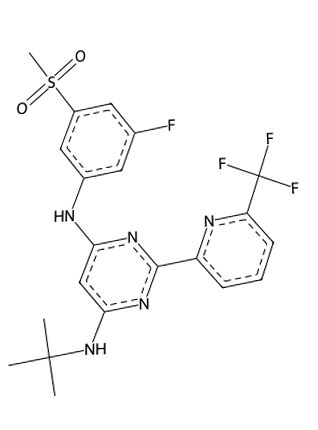 CC(C)(C)Nc1cc(Nc2cc(F)cc(S(C)(=O)=O)c2)nc(-c2cccc(C(F)(F)F)n2)n1